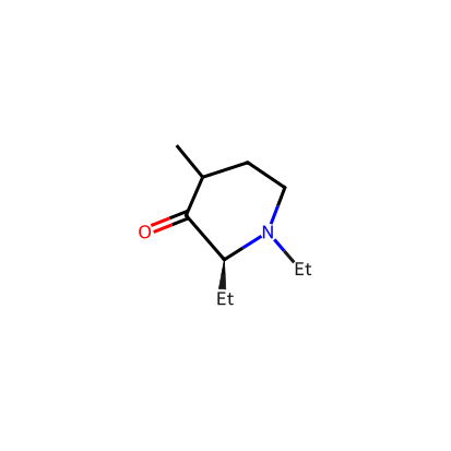 CC[C@H]1C(=O)C(C)CCN1CC